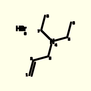 Br.C=CCN(CC)CC